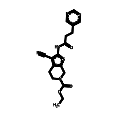 CCOC(=O)N1CCc2c(sc(NC(=O)CCc3cncnc3)c2C#N)C1